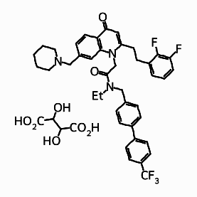 CCN(Cc1ccc(-c2ccc(C(F)(F)F)cc2)cc1)C(=O)Cn1c(CCc2cccc(F)c2F)cc(=O)c2ccc(CN3CCCCC3)cc21.O=C(O)C(O)C(O)C(=O)O